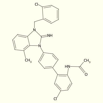 CC(=O)Nc1ccc(Cl)cc1-c1ccc(-n2c(=N)n(Cc3ccccc3Cl)c3cccc(C)c32)cc1